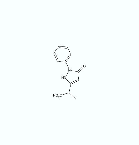 CC(C(=O)O)c1cc(=O)n(-c2ccccc2)[nH]1